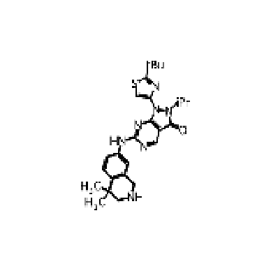 CC(C)n1c(=O)c2cnc(Nc3ccc4c(c3)CNCC4(C)C)nc2n1-c1csc(C(C)(C)C)n1